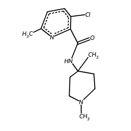 Cc1ccc(Cl)c(C(=O)NC2(C)CCN(C)CC2)n1